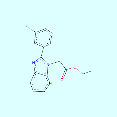 CCOC(=O)Cn1c(-c2cccc(F)c2)nc2cccnc21